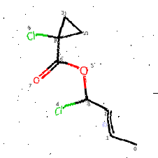 C/C=C/C(Cl)OC(=O)C1(Cl)CC1